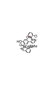 COc1cccc(CN(C)S(=O)(=O)c2cc(-c3ccnn3-c3ccccc3Cl)c(O)cc2O)c1OC